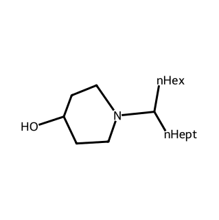 CCCCCCCC(CCCCCC)N1CCC(O)CC1